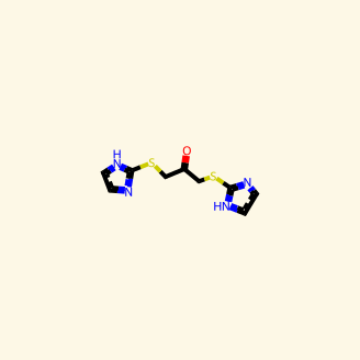 O=C(CSc1ncc[nH]1)CSc1ncc[nH]1